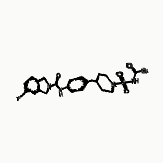 CC(C)(C)C(=O)NS(=O)(=O)N1CCC(c2ccc(NC(=O)N3Cc4ccc(F)cc4C3)cc2)CC1